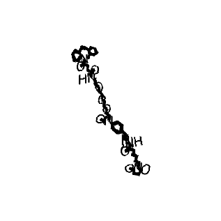 O=CN(CCOCCOCCOCCNC(=O)CCC(=O)N1Cc2ccccc2C#Cc2ccccc21)c1ccc(/C=N/NC(=O)CCCCCN2C(=O)C=CC2=O)cc1